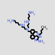 CCCCc1nc2c(N)nc3ccccc3c2n1Cc1ccc(CN(CCCNCCCCN)CCCNCCCCN)cc1